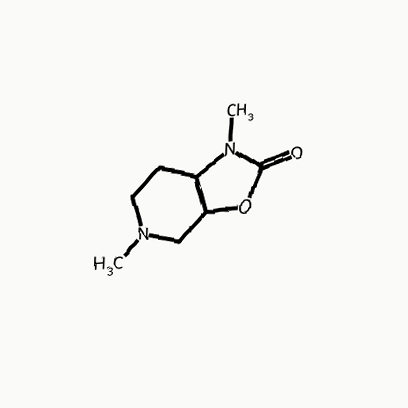 CN1CCC2C(C1)OC(=O)N2C